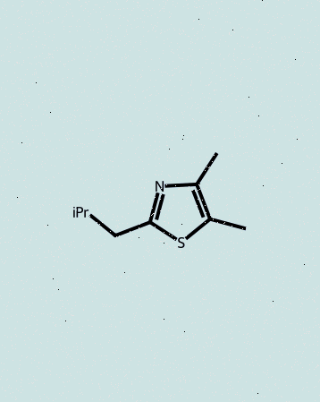 Cc1nc(CC(C)C)sc1C